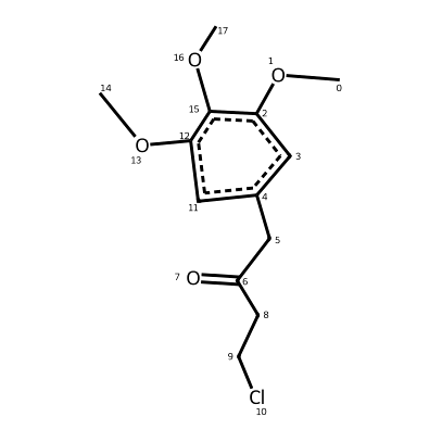 COc1cc(CC(=O)CCCl)cc(OC)c1OC